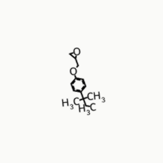 CCC(C)(C)c1ccc(OCC2CO2)cc1